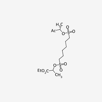 CCOC(=O)C(C)OS(=O)(=O)CCCCCCS(=O)(=O)OC(C)C(C)=O